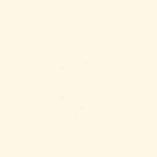 CCCCOC(=O)N(C)Cc1cnc2ccc(-c3ccc(F)cc3OCCc3c(C(N)=O)nn(C)c3C)cn12